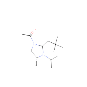 CC(=O)N1C[C@H](C)N(C(C)C)C1CC(C)(C)C